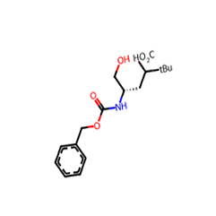 CC(C)(C)C(C[C@@H](CO)NC(=O)OCc1ccccc1)C(=O)O